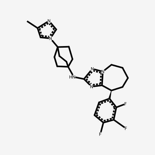 Cc1cn(C23CCC(Nc4nc5n(n4)CCCC[C@H]5c4ccc(F)c(F)c4F)(CC2)CC3)cn1